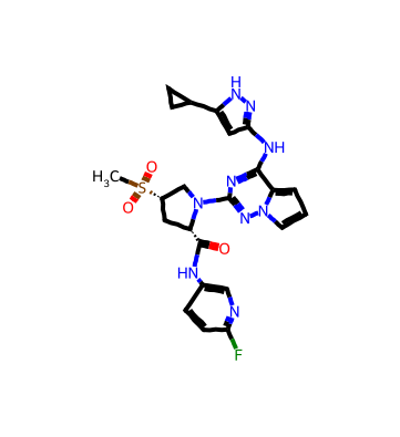 CS(=O)(=O)[C@H]1C[C@@H](C(=O)Nc2ccc(F)nc2)N(c2nc(Nc3cc(C4CC4)[nH]n3)c3cccn3n2)C1